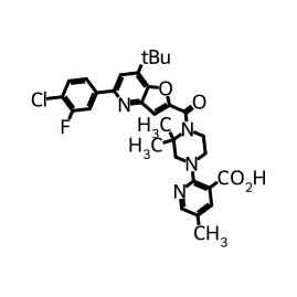 Cc1cnc(N2CCN(C(=O)c3cc4nc(-c5ccc(Cl)c(F)c5)cc(C(C)(C)C)c4o3)C(C)(C)C2)c(C(=O)O)c1